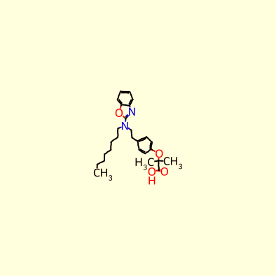 CCCCCCCCN(CCc1ccc(OC(C)(C)C(=O)O)cc1)c1nc2ccccc2o1